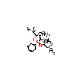 CCC(C)O[Si](OC(C)CC)(C(C)CC)C1CCCCC1